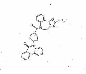 Cc1nc2c(o1)-c1ccccc1N(C(=O)c1ccc(NC(=O)c3ccccc3-c3ccccc3)cc1)CC2